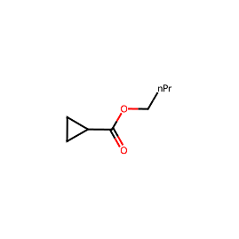 CCCCOC(=O)C1CC1